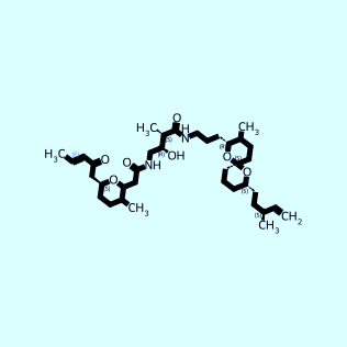 C=C[C@@H](C)CC[C@@H]1CCC[C@]2(CCC(C)[C@@H](CCCNC(=O)[C@@H](C)[C@@H](O)CNC(=O)CC3O[C@H](CC(=O)/C=C/C)CCC3C)O2)O1